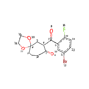 O=C1CCC2(CC1C(=O)c1cc(Br)ccc1F)OCCO2